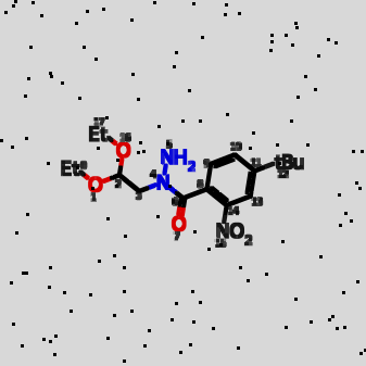 CCOC(CN(N)C(=O)c1ccc(C(C)(C)C)cc1[N+](=O)[O-])OCC